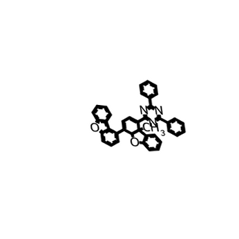 CC12C(c3nc(-c4ccccc4)nc(-c4ccccc4)n3)=CC=C(c3cccc4oc5ccccc5c34)C1Oc1ccccc12